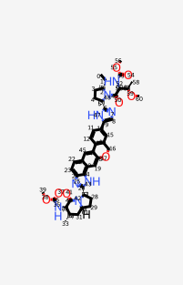 CC[C@H]1CC[C@@H](c2ncc(-c3ccc4c(c3)COc3cc5c(ccc6nc([C@@H]7CC[C@@H]8C[C@H](C)[C@H](NC(=O)OC)C(=O)N87)[nH]c65)cc3-4)[nH]2)N1C(=O)[C@@H](NC(=O)OC)[C@@H](C)OC